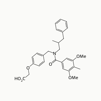 COc1cc(C(=O)N(Cc2ccc(OCC(=O)O)cc2)CC(C)Cc2ccccc2)cc(OC)c1C